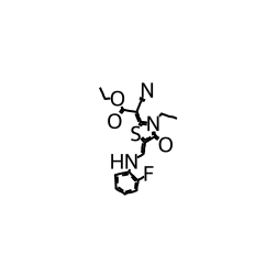 CCOC(=O)/C(C#N)=c1\sc(=CNc2ccccc2F)c(=O)n1CC